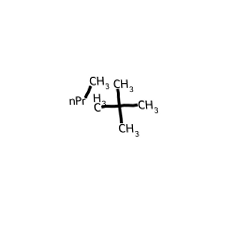 CC(C)(C)C.CCCC